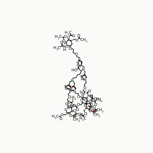 CC(=O)N[C@@H]1[C@@H](OC(C)=O)[C@@H](OC(C)=O)[C@@H](COC(C)=O)C[C@H]1OCCOCCn1cc(CN(Cc2cn(CCOCCO[C@@H]3O[C@H](COC(C)=O)[C@H](OC(C)=O)[C@H](OC(C)=O)[C@H]3NC(C)=O)nn2)C(CCCCN(Cc2cn(CCOCCO[C@@H]3O[C@H](COC(C)=O)[C@H](OC(C)=O)[C@H](OC(C)=O)[C@H]3NC(C)=O)nn2)Cc2cn(CCOCCO[C@@H]3O[C@H](COC(C)=O)[C@H](OC(C)=O)[C@H](OC(C)=O)[C@H]3NC(C)=O)nn2)C(=O)O)nn1